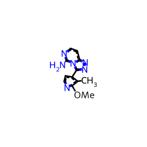 COc1nccc(-c2nnc3ccnc(N)n23)c1C